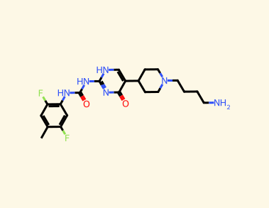 Cc1cc(F)c(NC(=O)Nc2nc(=O)c(C3CCN(CCCCN)CC3)c[nH]2)cc1F